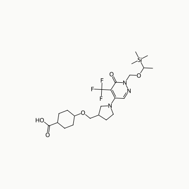 CC(OCn1ncc(N2CCC(COC3CCC(C(=O)O)CC3)C2)c(C(F)(F)F)c1=O)[Si](C)(C)C